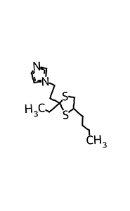 CCCCC1CSC(CC)(CCn2ccnc2)S1